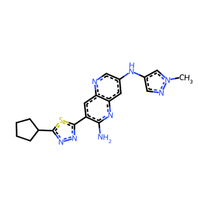 Cn1cc(Nc2cnc3cc(-c4nnc(C5CCCC5)s4)c(N)nc3c2)cn1